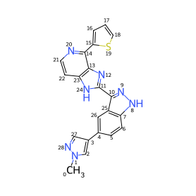 Cn1cc(-c2ccc3[nH]nc(-c4nc5c(-c6cccs6)nccc5[nH]4)c3c2)cn1